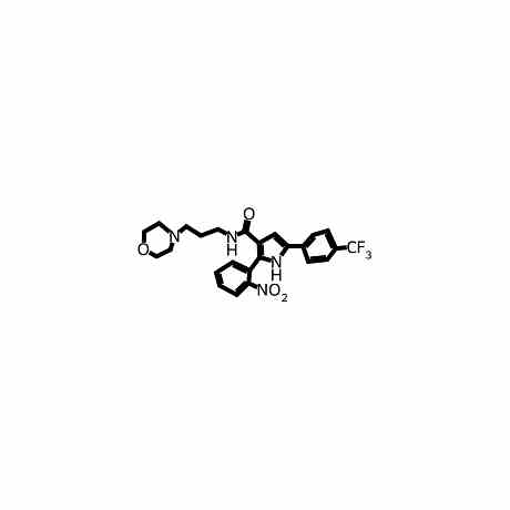 O=C(NCCCN1CCOCC1)c1cc(-c2ccc(C(F)(F)F)cc2)[nH]c1-c1ccccc1[N+](=O)[O-]